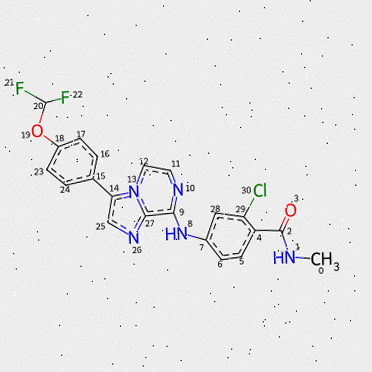 CNC(=O)c1ccc(Nc2nccn3c(-c4ccc(OC(F)F)cc4)cnc23)cc1Cl